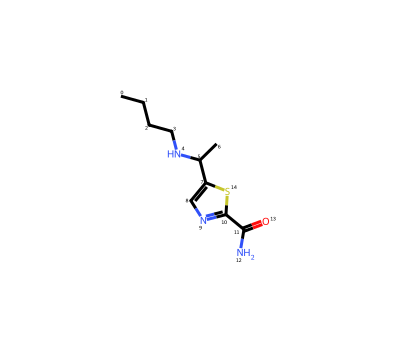 CCCCNC(C)c1cnc(C(N)=O)s1